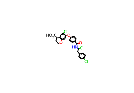 O=C(NC(Cl)Cc1ccc(Cl)cc1)c1ccc(Oc2cc3c(cc2Cl)C(C(=O)O)CCO3)cc1